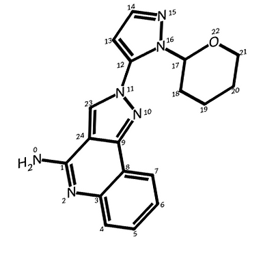 Nc1nc2ccccc2c2nn(-c3ccnn3C3CCCCO3)cc12